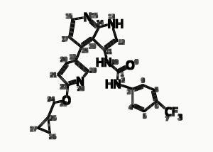 O=C(Nc1ccc(C(F)(F)F)cc1)Nc1c[nH]c2nccc(-c3ccc(OCC4CC4)nc3)c12